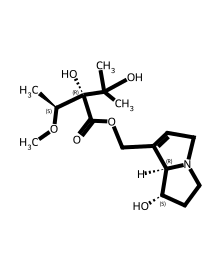 CO[C@@H](C)[C@](O)(C(=O)OCC1=CCN2CC[C@H](O)[C@@H]12)C(C)(C)O